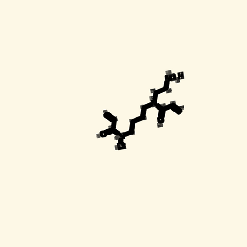 C=CC(=O)N(CC)CCCCN(CCS(=O)(=O)O)C(=O)C=C